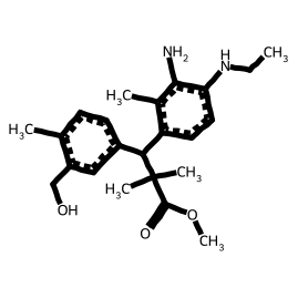 CCNc1ccc(C(c2ccc(C)c(CO)c2)C(C)(C)C(=O)OC)c(C)c1N